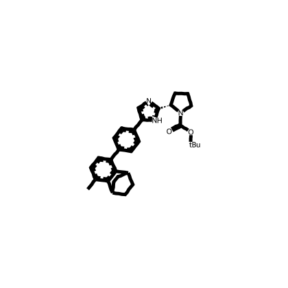 Cc1ccc(-c2ccc(-c3cnc([C@@H]4CCCN4C(=O)OC(C)(C)C)[nH]3)cc2)c2c1C1CCC2CC1